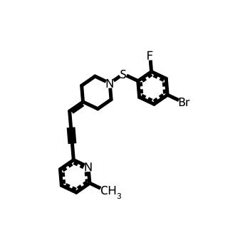 Cc1cccc(C#CC=C2CCN(Sc3ccc(Br)cc3F)CC2)n1